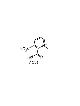 CCCCCCCCNC(=O)c1c(C(=O)O)ccc[n+]1C